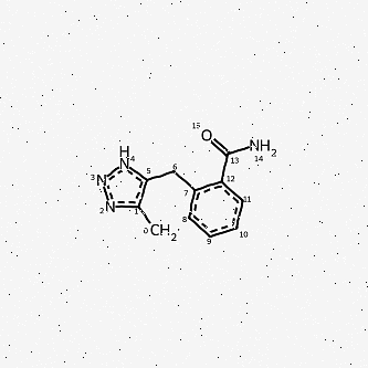 [CH2]c1nn[nH]c1Cc1ccccc1C(N)=O